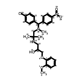 COc1ccccc1OCC(O)CNC(C)(C)CN(C)C(c1ccc(Cl)cc1)c1ccc([N+](=O)[O-])cc1